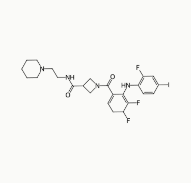 O=C(NCCN1CCCCC1)C1CN(C(=O)C2=CCC(F)C(F)=C2Nc2ccc(I)cc2F)C1